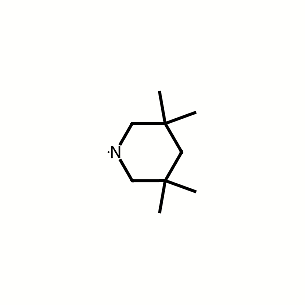 CC1(C)C[N]CC(C)(C)C1